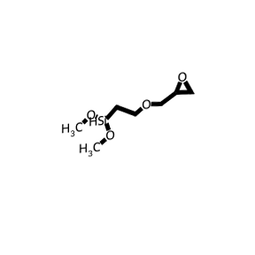 CO[SiH](CCOCC1CO1)OC